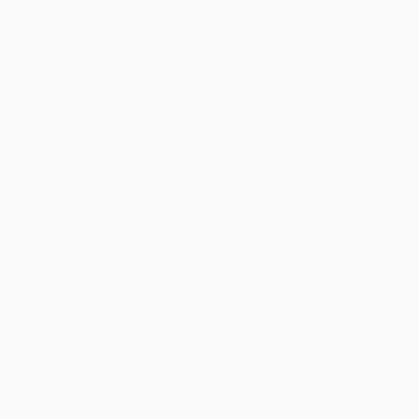 CCCC1CCC(Cc2cc(F)c(-c3cc(F)c(F)c(F)c3)c(F)c2)CC1